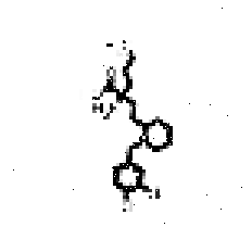 BC(CCCC)(CCC1CCCCN1Cc1ccc(Cl)c(Cl)c1)C(=O)O